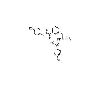 C[C@H](Cc1cccc(C(=O)NCc2ccc(O)cc2)c1)NC[C@H](O)c1ccc(N)nc1